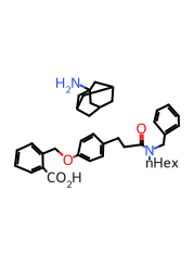 CCCCCCN(Cc1ccccc1)C(=O)CCc1ccc(OCc2ccccc2C(=O)O)cc1.NC12CC3CC(CC(C3)C1)C2